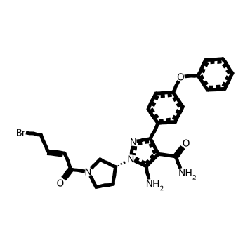 NC(=O)c1c(-c2ccc(Oc3ccccc3)cc2)nn([C@@H]2CCN(C(=O)C=CCBr)C2)c1N